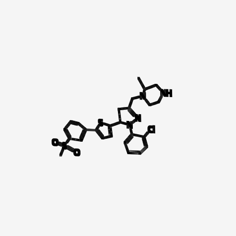 CC1CNCCN1CC1=NN(c2ccccc2Cl)C(c2ccc(-c3cccc(S(C)(=O)=O)c3)s2)C1